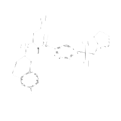 CCCC(NC1CCc2cc(F)ccc2C1)C(=O)Nc1cn(C(C)(C)CN2CCCC2)cn1